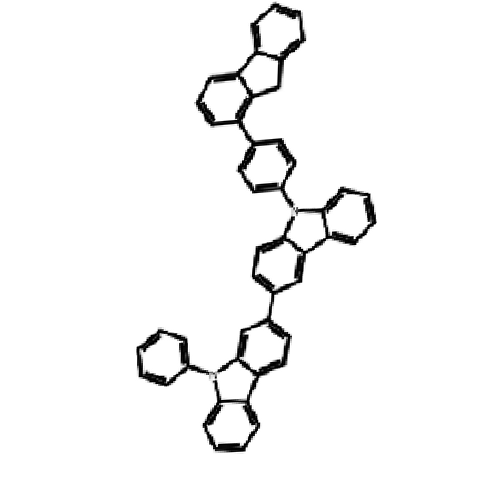 c1ccc(-n2c3ccccc3c3ccc(-c4ccc5c(c4)c4ccccc4n5-c4ccc(-c5cccc6c5Cc5ccccc5-6)cc4)cc32)cc1